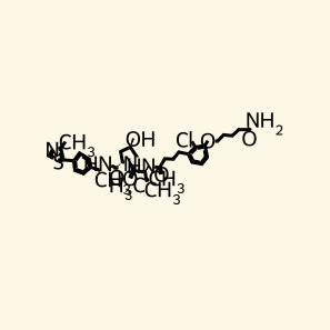 Cc1ncsc1-c1ccc([C@H](C)NC(=O)[C@@H]2C[C@@H](O)CN2C(=O)[C@@H](NC(=O)CCCc2cccc(OCCCCC(N)=O)c2Cl)C(C)(C)C)cc1